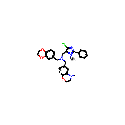 CCCCn1c(-c2ccccc2)nc(Cl)c1CN(Cc1ccc2c(c1)OCCO2)Cc1ccc2c(c1)N(C)CCO2